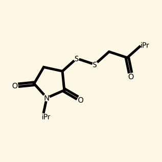 CC(C)C(=O)CSSC1CC(=O)N(C(C)C)C1=O